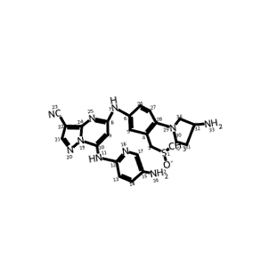 C[S+]([O-])Cc1cc(Nc2cc(Nc3ccc(N)cn3)n3ncc(C#N)c3n2)ccc1N1CCC(N)C1